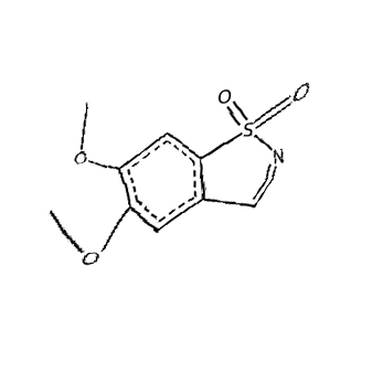 COc1cc2c(cc1OC)S(=O)(=O)N=C2